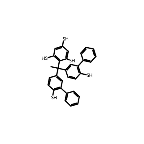 CC(c1ccc(S)c(-c2ccccc2)c1)(c1ccc(S)c(-c2ccccc2)c1)c1c(S)cc(S)cc1S